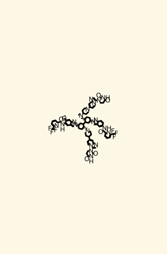 COc1cc2nn([C@@H]3CC[C@@H](CN4CCC(c5ccn6c(N7CCC(=O)NC7=O)cnc6c5)CC4)C(C4C[C@@H](n5cc6cc(NC(=O)c7cccc(C(F)(F)F)n7)ccc6n5)CC[C@@H]4CN(C)C4CCN(c5ccn6c(N7CCC(=O)NC7=O)cnc6c5)CC4)C3)cc2cc1NC(=O)c1cccc(C(F)(F)F)n1